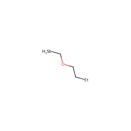 CCCCO[CH2][SbH2]